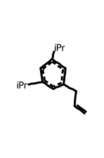 C=CCc1cc(C(C)C)cc(C(C)C)c1